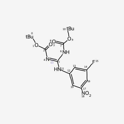 CC(C)(C)OC(=O)/N=C(\NC(=O)OC(C)(C)C)Nc1cc(F)cc([N+](=O)[O-])c1